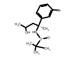 CC(O)C[C@](C)(N[S+]([O-])C(C)(C)C)c1cccc(Br)c1